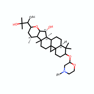 CC(=O)OC(C1C[C@@H](C)C2C(O1)[C@H](O)[C@@]1(C)C3CC[C@H]4C(C)(C)C(OC5CN(C(C)C)CCO5)CCC45CC35CCC21C)C(C)(C)O